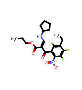 CCCOC(=O)C(=CNC1CCCC1)C(=O)c1c(F)c(CC)c(F)c(F)c1[N+](=O)[O-]